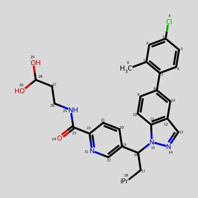 Cc1cc(Cl)ccc1-c1ccc2c(cnn2C(CC(C)C)c2ccc(C(=O)NCCC(O)O)nc2)c1